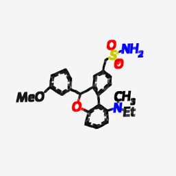 CCN(C)c1cccc2c1-c1ccc(CS(N)(=O)=O)cc1C(c1cccc(OC)c1)O2